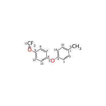 Cc1ccc(Oc2ccc(OC(F)(F)F)cc2)cc1